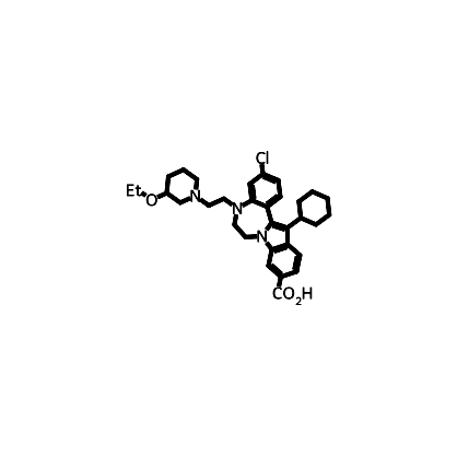 CCOC1CCCN(CCN2CCn3c(c(C4CCCCC4)c4ccc(C(=O)O)cc43)-c3ccc(Cl)cc32)C1